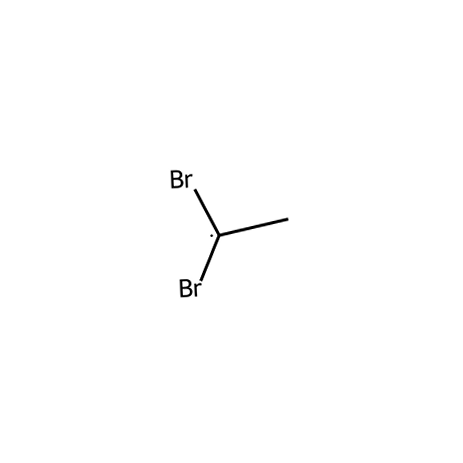 C[C](Br)Br